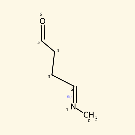 C/N=C/CCC=O